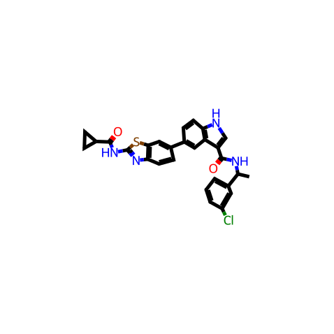 CC(NC(=O)c1c[nH]c2ccc(-c3ccc4nc(NC(=O)C5CC5)sc4c3)cc12)c1cccc(Cl)c1